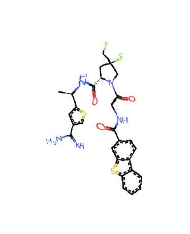 C[C@@H](NC(=O)[C@@H]1C[C@](F)(CF)CN1C(=O)CNC(=O)c1ccc2c(c1)sc1ccccc12)c1cc(C(=N)N)cs1